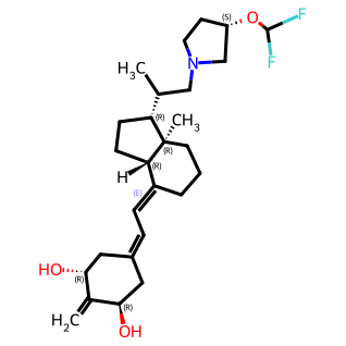 C=C1[C@H](O)CC(=C/C=C2\CCC[C@]3(C)[C@@H](C(C)CN4CC[C@H](OC(F)F)C4)CC[C@@H]23)C[C@H]1O